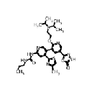 CCCNC(=O)Nc1cc(-c2nc(C)cs2)c(-c2cc(-c3n[nH]c(=O)o3)cnc2OCCN(C(C)C)C(C)C)cn1